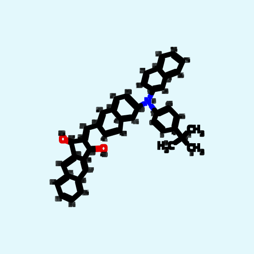 CC(C)(C)c1ccc(N(c2ccc3ccccc3c2)c2ccc3cc(C=C4C(=O)c5cc6ccccc6cc5C4=O)ccc3c2)cc1